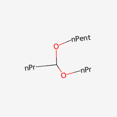 [CH2]CCC(OCCC)OCCCCC